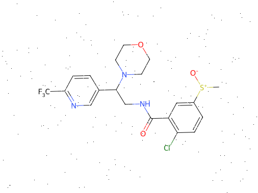 C[S+]([O-])c1ccc(Cl)c(C(=O)NCC(c2ccc(C(F)(F)F)nc2)N2CCOCC2)c1